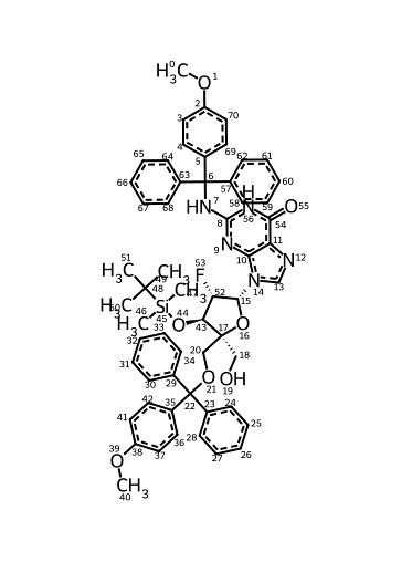 COc1ccc(C(Nc2nc3c(ncn3[C@@H]3O[C@@](CO)(COC(c4ccccc4)(c4ccccc4)c4ccc(OC)cc4)[C@@H](O[Si](C)(C)C(C)(C)C)[C@@H]3F)c(=O)[nH]2)(c2ccccc2)c2ccccc2)cc1